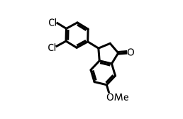 COc1ccc2c(c1)C(=O)CC2c1ccc(Cl)c(Cl)c1